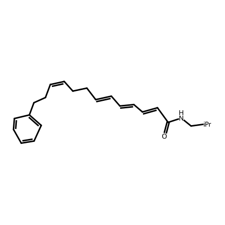 CC(C)CNC(=O)/C=C/C=C/C=CCC/C=C\CCc1ccccc1